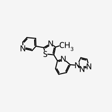 Cc1nc(-c2cccnc2)sc1-c1cccc(-n2ccnn2)n1